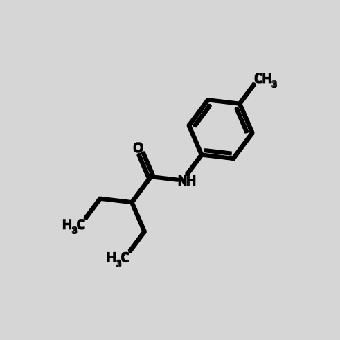 CCC(CC)C(=O)Nc1ccc(C)cc1